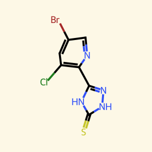 S=c1[nH]nc(-c2ncc(Br)cc2Cl)[nH]1